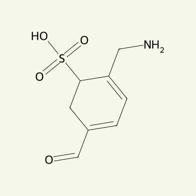 NCC1=CC=C(C=O)CC1S(=O)(=O)O